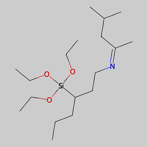 CCCC(CCN=C(C)CC(C)C)[Si](OCC)(OCC)OCC